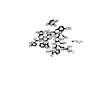 CC(=O)O.CCNC(=O)[C@@H]1CCCN1C(=O)[C@H](CCCNC(=N)N)NC(=O)[C@H](CC(C)C)NC(=O)[C@@H](CC(C)C)NC(=O)[C@H](Cc1ccc(O)cc1)NC(=O)[C@H](CO)NC(=O)[C@H](Cc1c[nH]c2ccccc12)NC(=O)[C@H](Cc1cnc[nH]1)NC(=O)[C@@H]1CCC(=O)N1.O=c1ccn(F)c(=O)[nH]1